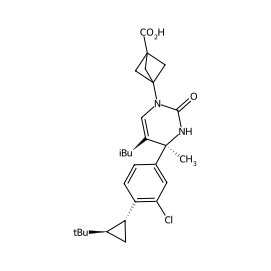 CC[C@H](C)C1=CN(C23CC(C(=O)O)(C2)C3)C(=O)N[C@@]1(C)c1ccc([C@@H]2C[C@H]2C(C)(C)C)c(Cl)c1